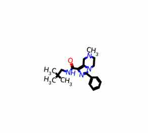 CN1CCn2c(-c3ccccc3)nc(C(=O)NCC(C)(C)C)c2C1